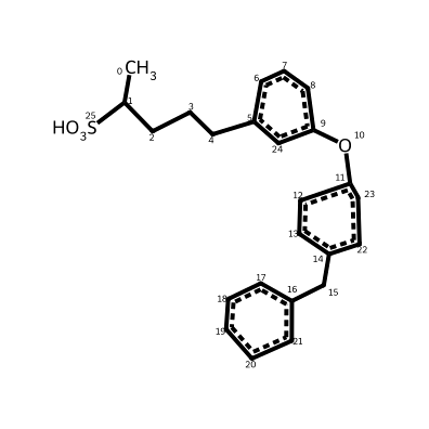 CC(CCCc1cccc(Oc2ccc(Cc3ccccc3)cc2)c1)S(=O)(=O)O